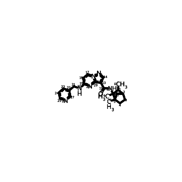 CC1C2CCC(C)(C2)C1(C)NC(=O)c1cnn2ccc(NCc3cccnc3)nc12